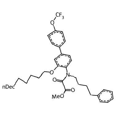 CCCCCCCCCCCCCCCOc1cc(-c2ccc(OC(F)(F)F)cc2)ccc1N(CCCCc1ccccc1)C(=O)C(=O)OC